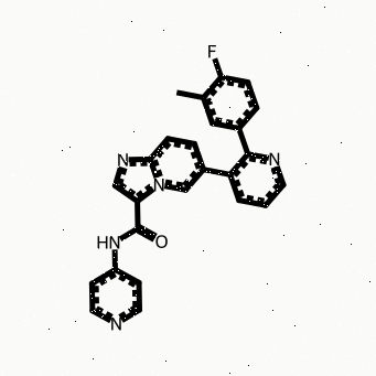 Cc1cc(-c2ncccc2-c2ccc3ncc(C(=O)Nc4ccncc4)n3c2)ccc1F